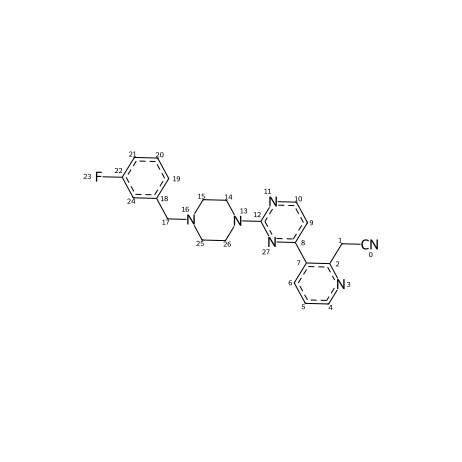 N#CCc1ncccc1-c1ccnc(N2CCN(Cc3cccc(F)c3)CC2)n1